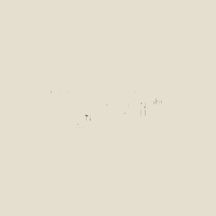 CCCCNC(=O)c1ccc2c(c1)/C=C\c1cc(Cl)ccc1N(C(C)=O)C2